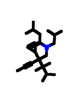 C=C(CC(C)C)N(CC(C)C)CC(C#CC)(C1C#C1)C(C)(C)C(C)C